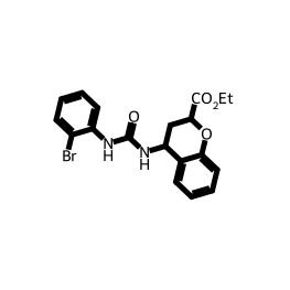 CCOC(=O)C1CC(NC(=O)Nc2ccccc2Br)c2ccccc2O1